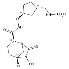 O=C(O)NC[C@H]1CC[C@H](ONC(=O)[C@@H]2CC[C@@H]3CN2C(=O)N3O)C1